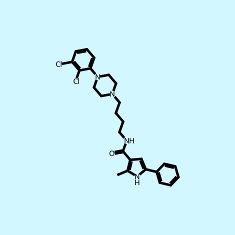 Cc1[nH]c(-c2ccccc2)cc1C(=O)NCCCCN1CCN(c2cccc(Cl)c2Cl)CC1